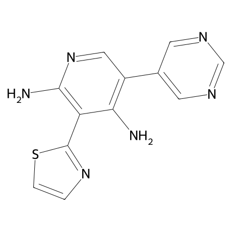 Nc1ncc(-c2cncnc2)c(N)c1-c1nccs1